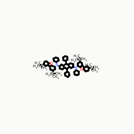 C[Si](C)(C)c1ccc2oc3c(N(c4ccccc4)c4ccc5c(-c6ccccc6)c6cc(N(c7ccccc7)c7cc([Si](C)(C)C)cc8c7oc7ccc([Si](C)(C)C)cc78)ccc6c(-c6ccccc6)c5c4)cc([Si](C)(C)C)cc3c2c1